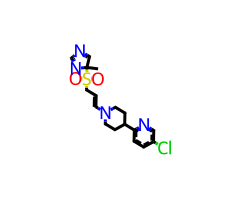 CC1(S(=O)(=O)CC=CN2CCC(c3ccc(Cl)cn3)CC2)C=NC=N1